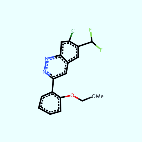 COCOc1ccccc1-c1cc2cc(C(F)F)c(Cl)cc2nn1